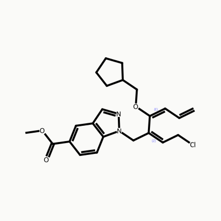 C=C/C=C(OCC1CCCC1)\C(=C/CCl)Cn1ncc2cc(C(=O)OC)ccc21